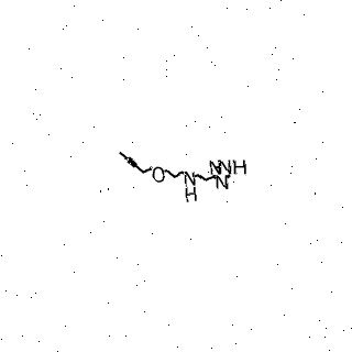 CC#CCCOCCCNCCc1nc[nH]n1